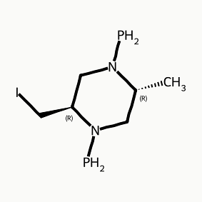 C[C@@H]1CN(P)[C@@H](CI)CN1P